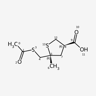 CC(=O)SC[C@@]1(C)C[C@H](C(=O)O)CS1